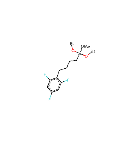 CCO[Si](CCCCc1c(F)cc(F)cc1F)(OC)OCC